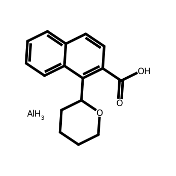 O=C(O)c1ccc2ccccc2c1C1CCCCO1.[AlH3]